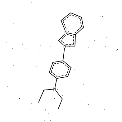 CCN(CC)c1ccc(-n2cc3cccc[n+]3c2)cc1